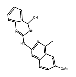 COc1ccc2nc(NC3=Nc4ccccc4C(O)N3)nc(C)c2c1